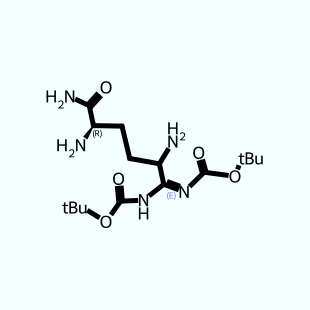 CC(C)(C)OC(=O)/N=C(/NC(=O)OC(C)(C)C)C(N)CC[C@@H](N)C(N)=O